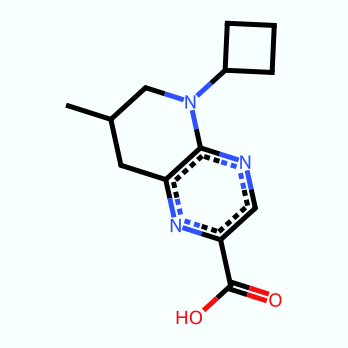 CC1Cc2nc(C(=O)O)cnc2N(C2CCC2)C1